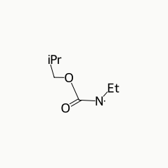 CC[N]C(=O)OCC(C)C